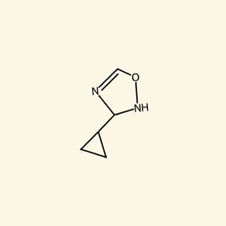 C1=N[C](C2CC2)NO1